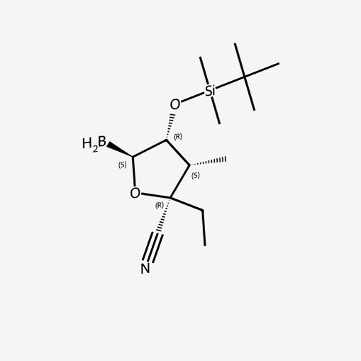 B[C@@H]1O[C@](C#N)(CC)[C@@H](C)[C@H]1O[Si](C)(C)C(C)(C)C